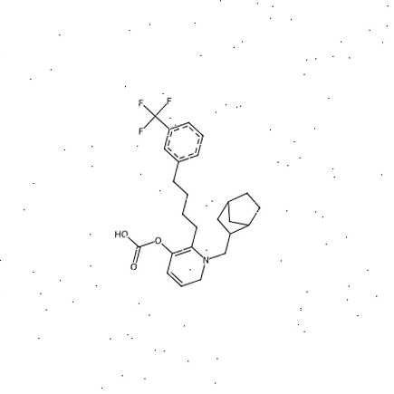 O=C(O)OC1=C(CCCCc2cccc(C(F)(F)F)c2)N(CC2CC3CCC2C3)CC=C1